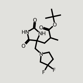 CC(CC1(CN2CCC(F)(F)C2)NC(=O)NC1=O)C(=O)OC(C)(C)C